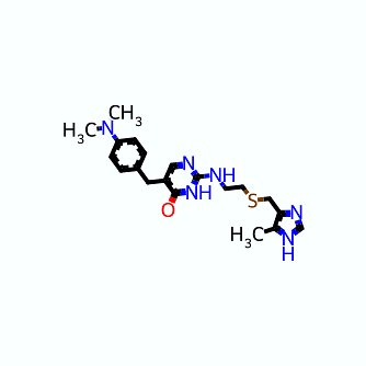 Cc1[nH]cnc1CSCCNc1ncc(Cc2ccc(N(C)C)cc2)c(=O)[nH]1